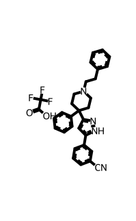 N#Cc1cccc(-c2cc(C3(c4ccccc4)CCN(CCc4ccccc4)CC3)n[nH]2)c1.O=C(O)C(F)(F)F